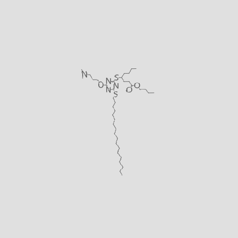 CCCCCCCCCCCCCCCCCCSc1nc(OCCCN(C)C)nc(SC(CCCC)CCC(=O)OCCCC)n1